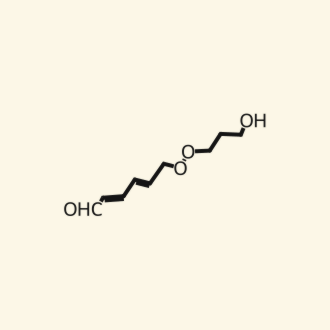 O=C/C=C/C=C/COOCCCO